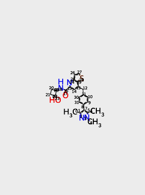 Cc1nn(C)c(C)c1-c1ccc(Cc2cc(C(=O)N[C@@H]3CC[C@H]3O)nc3ccsc23)cc1